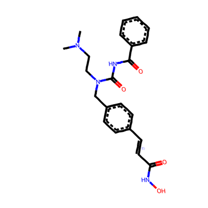 CN(C)CCN(Cc1ccc(/C=C/C(=O)NO)cc1)C(=O)NC(=O)c1ccccc1